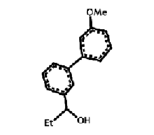 CCC(O)c1cccc(-c2cccc(OC)c2)c1